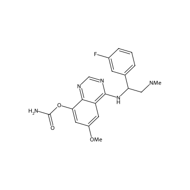 CNCC(Nc1ncnc2c(OC(N)=O)cc(OC)cc12)c1cccc(F)c1